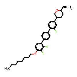 C=CC1CCC(c2ccc(-c3ccc(-c4ccc(OCCCCCCCC)c(F)c4F)cc3)c(F)c2)CO1